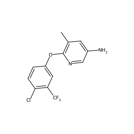 Cc1cc(N)cnc1Oc1ccc(Cl)c(C(F)(F)F)c1